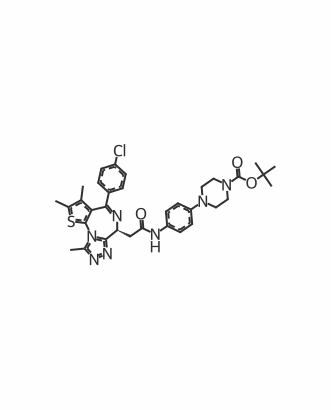 Cc1sc2c(c1C)C(c1ccc(Cl)cc1)=N[C@@H](CC(=O)Nc1ccc(N3CCN(C(=O)OC(C)(C)C)CC3)cc1)c1nnc(C)n1-2